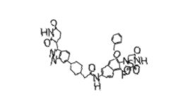 Cn1nc(C2CCC(=O)NC2=O)c2ccc(C3CCC(CC(=O)Nc4ccc5c(F)c(N6CC(=O)NS6(=O)=O)c(OCc6ccccc6)cc5c4)CC3)cc21